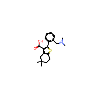 CN(C)Cc1ccccc1-c1sc2c(c1C(=O)O)CC(C)(C)CC2